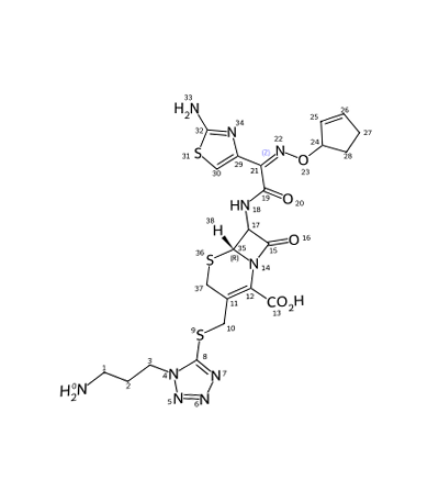 NCCCn1nnnc1SCC1=C(C(=O)O)N2C(=O)C(NC(=O)/C(=N\OC3C=CCC3)c3csc(N)n3)[C@H]2SC1